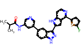 CC(C)C(=O)Nc1cncc(-c2ccc3[nH]nc(-c4cc5c(-c6ccc(F)s6)nccc5[nH]4)c3c2)c1